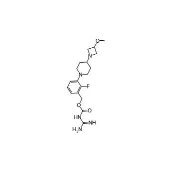 COC1CN(C2CCN(c3cccc(COC(=O)NC(=N)N)c3F)CC2)C1